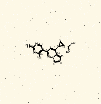 [2H]c1ncc(-c2cc([C@H]3C[C@@H]3C(F)F)c3cccn3n2)c([2H])n1